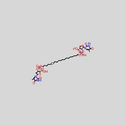 Cc1cn(C2C[C@@H](OP(=O)(O)OCCCCCCCCCCCCCCCCCCCCOP(=O)(O)OC3[C@@H](CO)CO[C@H]3n3cc(C)c(=O)[nH]c3=O)[C@@H](CO)O2)c(=O)[nH]c1=O